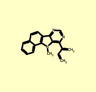 C=CC(=C)c1ncnc2c3ccc4ccccc4c3n(C)c12